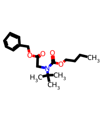 CCCCOC(=O)N(CC(=O)OCc1ccccc1)C(C)(C)C